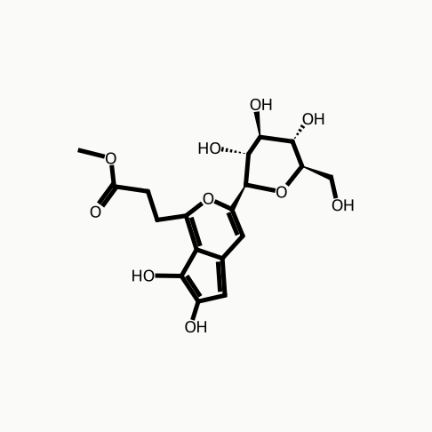 COC(=O)CCc1oc([C@@H]2O[C@H](CO)[C@@H](O)[C@H](O)[C@H]2O)cc2cc(O)c(O)c1-2